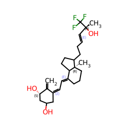 C=C1/C(=C\C=C2/CCC[C@]3(C)C(CC/C=C/[C@@](C)(O)C(F)(F)F)CCC23)CC(O)C[C@@H]1O